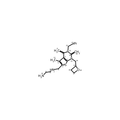 C=C1c2c(sc(CNCCN)c2C)N(CC2CCO2)C(=C)N1CC(C)C